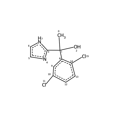 CC(O)(c1ncc[nH]1)c1cc(Cl)ccc1Cl